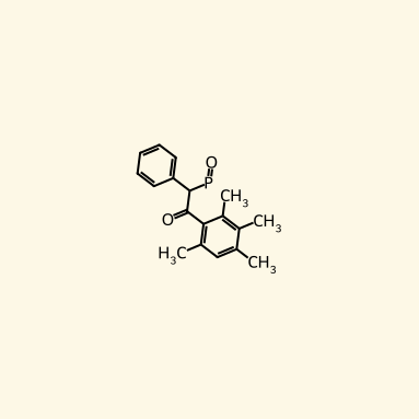 Cc1cc(C)c(C(=O)C(P=O)c2ccccc2)c(C)c1C